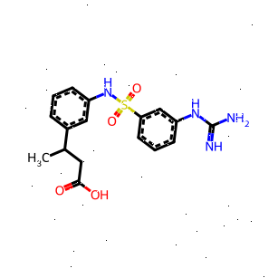 CC(CC(=O)O)c1cccc(NS(=O)(=O)c2cccc(NC(=N)N)c2)c1